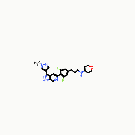 Cn1cc(-c2n[nH]c3cnc(-c4c(F)cc(CCCNC5CCOCC5)cc4F)cc23)cn1